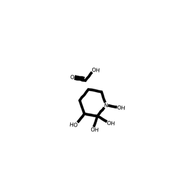 O=CO.OC1CCCN(O)C1(O)O